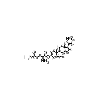 CC12CCC(OC(=O)C(N)CCC(N)=O)CC1=CCC1C2CCC2(C)C(c3cccnc3)=CCC12